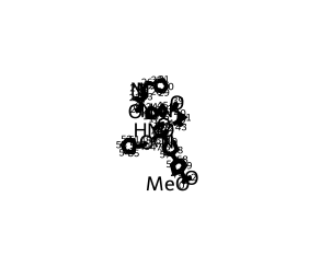 COC(=O)c1ccc(C2CCN(C(=O)[C@@H](NC(=O)[C@@H]3CN(C(=O)c4cnn(CC5CCCCC5)c4)CC34CN(C(=O)[C@H]3CC3(C)C)C4)[C@@H](C)OCC3CCCCC3)CC2)cc1